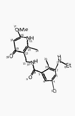 CCNc1cc(Cl)cc(C(=O)NCc2c(C)[nH]c(OC)cc2=O)c1C